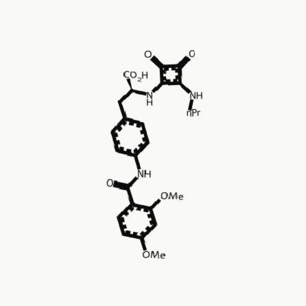 CCCNc1c(N[C@@H](Cc2ccc(NC(=O)c3ccc(OC)cc3OC)cc2)C(=O)O)c(=O)c1=O